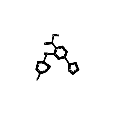 COC(=O)c1ccc(-c2cccs2)cc1Nc1ccc(F)cc1